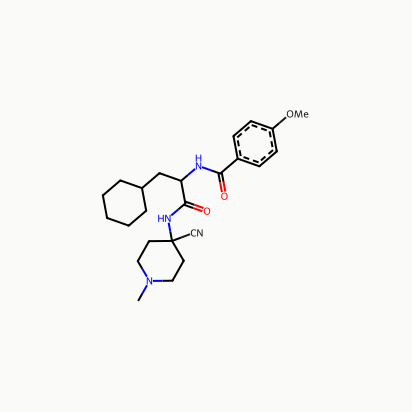 COc1ccc(C(=O)NC(CC2CCCCC2)C(=O)NC2(C#N)CCN(C)CC2)cc1